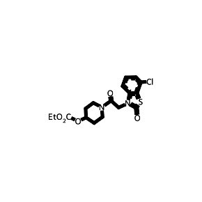 CCOC(=O)OC1CCN(C(=O)Cn2c(=O)sc3c(Cl)cccc32)CC1